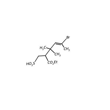 CCOC(=O)C(CS(=O)(=O)O)C(C)(C)/C=C(\C)Br